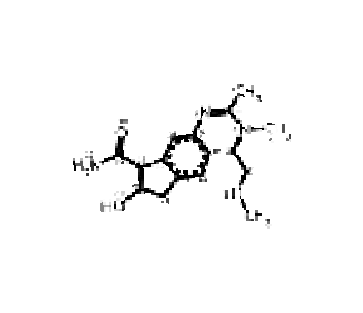 COCCN(C)C(C)=Nc1ccc2c(c1)C(C(N)=O)C(O)C2